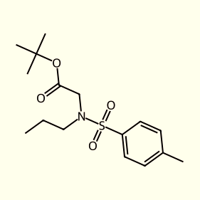 CCCN(CC(=O)OC(C)(C)C)S(=O)(=O)c1ccc(C)cc1